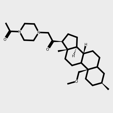 COC[C@]12CC[C@H](C)CC1CC[C@@H]1C2CC[C@]2(C)[C@@H](C(=O)CN3CCN(C(C)=O)CC3)CC[C@@H]12